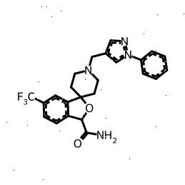 NC(=O)C1OC2(CCN(Cc3cnn(-c4ccccc4)c3)CC2)c2cc(C(F)(F)F)ccc21